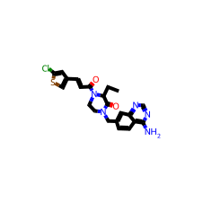 CCC1C(=O)N(Cc2ccc3c(N)ncnc3c2)CCN1C(=O)C=Cc1csc(Cl)c1